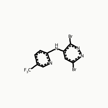 FC(F)(F)c1ccc(Nc2cc(Br)nnc2Br)nc1